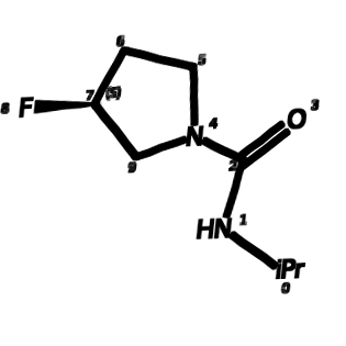 CC(C)NC(=O)N1CC[C@H](F)C1